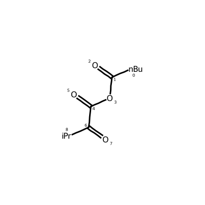 CCCCC(=O)OC(=O)C(=O)C(C)C